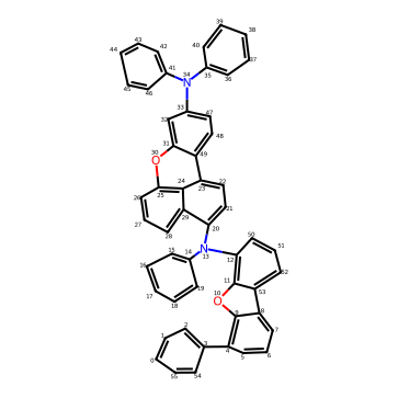 c1ccc(-c2cccc3c2oc2c(N(c4ccccc4)c4ccc5c6c(cccc46)Oc4cc(N(c6ccccc6)c6ccccc6)ccc4-5)cccc23)cc1